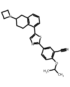 CC(C)Oc1ccc(-c2ncc(-c3cccc4c3CCC(N3CCC3)C4)s2)cc1C#N